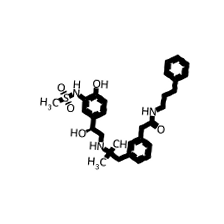 CC(C)(Cc1cccc(CC(=O)NCCCc2ccccc2)c1)NC[C@@H](O)c1ccc(O)c(NS(C)(=O)=O)c1